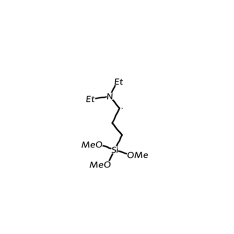 CCN([CH]CC[Si](OC)(OC)OC)CC